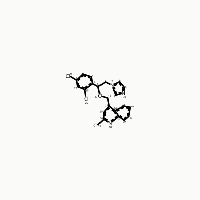 Clc1ccc(C(Cn2ccnc2)OCc2cc(Cl)nc3ccccc23)c(Cl)c1